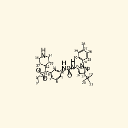 CCS(=O)(=O)C(c1cccc(NC(=O)Nc2cc(C(C)(C)C)nn2-c2ccc(C)cc2)c1)C1CCNCC1